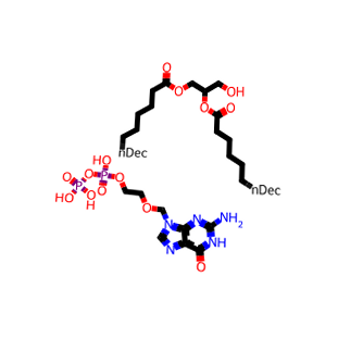 CCCCCCCCCCCCCCCC(=O)OCC(CO)OC(=O)CCCCCCCCCCCCCCC.Nc1nc2c(ncn2COCCOP(=O)(O)OP(=O)(O)O)c(=O)[nH]1